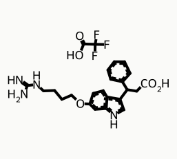 N=C(N)NCCCCOc1ccc2c(C(CC(=O)O)c3ccccc3)c[nH]c2c1.O=C(O)C(F)(F)F